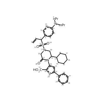 C=CC(c1ccc(N(CCC)CCC)nc1)S(=O)(=O)N1CC(=O)N(c2cc(-c3ccccc3)sc2C(=O)O)C(C2CCCCC2)C1